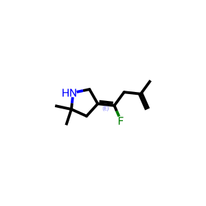 C=C(C)C/C(F)=C1\CNC(C)(C)C1